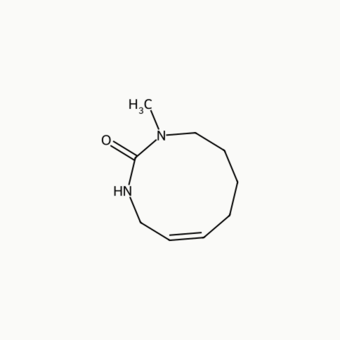 CN1CCCC/C=C\CNC1=O